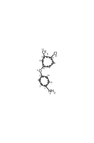 Nc1ccc(Oc2ccc(Cl)c(C(F)(F)F)c2)cc1